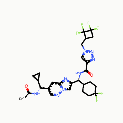 CCCC(=O)N[C@@H](c1cnn2cc([C@@H](NC(=O)c3cn(CC4CC(F)(F)C4(F)F)nn3)C3CCC(F)(F)CC3)nc2c1)C1CC1